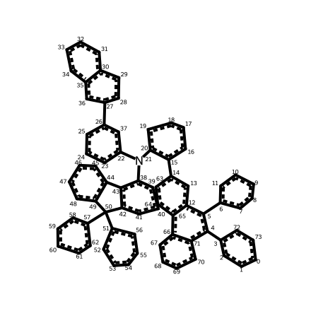 c1ccc(-c2c(-c3ccccc3)c3cc(-c4ccccc4N(c4cccc(-c5ccc6ccccc6c5)c4)c4cccc5c4-c4ccccc4C5(c4ccccc4)c4ccccc4)ccc3c3ccccc23)cc1